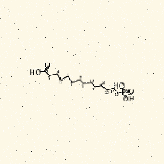 O=C(O)CCCCCCCCCCCCCP(=O)(O)O